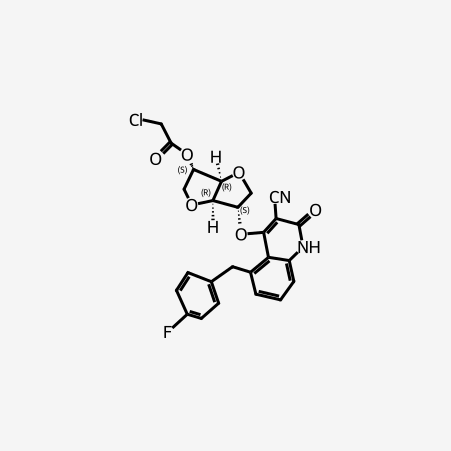 N#Cc1c(O[C@H]2CO[C@H]3[C@@H]2OC[C@@H]3OC(=O)CCl)c2c(Cc3ccc(F)cc3)cccc2[nH]c1=O